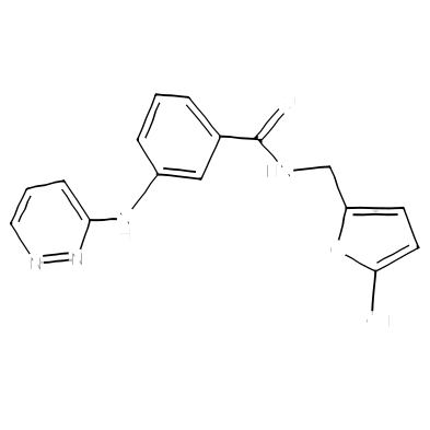 Cc1ccc(CNC(=O)c2cccc(Nc3cccnn3)c2)o1